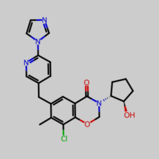 Cc1c(Cc2ccc(-n3ccnc3)nc2)cc2c(c1Cl)OCN([C@@H]1CCC[C@H]1O)C2=O